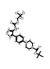 CC(C)(C)OC(=O)N1CCN(c2ccc(-c3nonc3NC(=O)OCC(Cl)(Cl)Cl)cc2)CC1